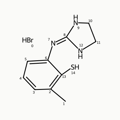 Br.Cc1cccc(N=C2NCCN2)c1S